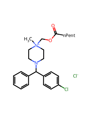 CCCCCC(=O)OC[N+]1(C)CCN(C(c2ccccc2)c2ccc(Cl)cc2)CC1.[Cl-]